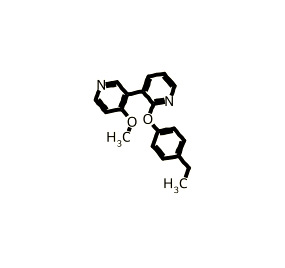 CCc1ccc(Oc2ncccc2-c2cnccc2OC)cc1